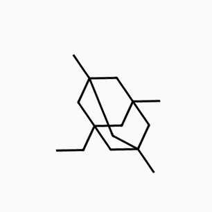 CCC12CC3(C)CC(C)(CC(C)(C3)C1)C2